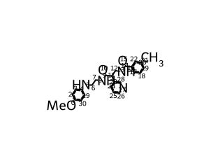 COc1ccc(NCCNC(=O)C(CNC(=O)c2cccc(C)c2)c2cccnc2)cc1